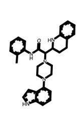 Cc1ccccc1NC(=O)C(C1CCc2ccccc2N1)N1CCN(c2cccc3[nH]ccc23)CC1